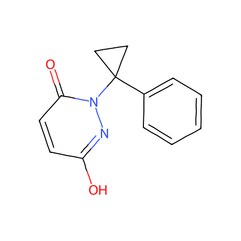 O=c1ccc(O)nn1C1(c2ccccc2)CC1